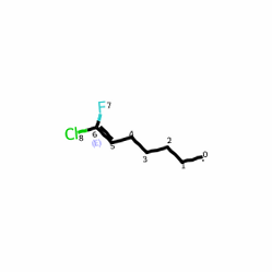 [CH2]CCCC/C=C(\F)Cl